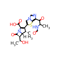 CC(NC=O)C(=O)c1ncn2cc(C3=C(C(=O)O)N4C(=O)[C@H]([C@@H](C)O)[C@H]4[C@H]3C)sc12